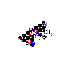 CN(C(=O)c1cc(C(=O)N(C)c2ccc(-c3ccccn3)cc2)cc(-c2ccccc2-c2ccc(-c3cnc(-c4ccc(-c5ccccc5-c5cc(C(=O)N(C)c6ccc(-c7ccccn7)cc6)cc(C(=O)N(C)c6ccc(-c7ccccn7)cc6)c5)cc4)cn3)cc2)c1)c1ccc(-c2ccccn2)cc1